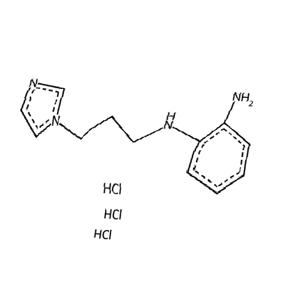 Cl.Cl.Cl.Nc1ccccc1NCCCn1ccnc1